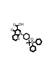 CC(C)(C)[Si](O[C@H]1CC[C@H](n2cc(C(=O)O)c(=O)c3cccnc32)CC1)(c1ccccc1)c1ccccc1